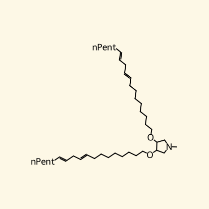 CCCCCC=CCC=CCCCCCCCCOC1CN(C)CC1OCCCCCCCCC=CCC=CCCCCC